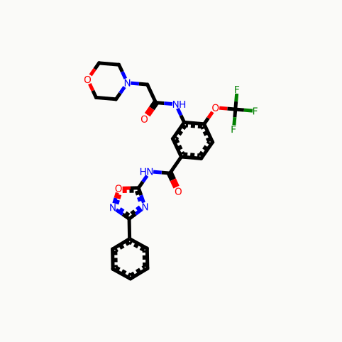 O=C(CN1CCOCC1)Nc1cc(C(=O)Nc2nc(-c3ccccc3)no2)ccc1OC(F)(F)F